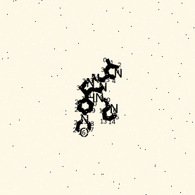 Cc1cncc(-c2nc(NCc3ccccn3)c3c(-c4ccc(N5CCOCC5)cc4)ccn3n2)c1